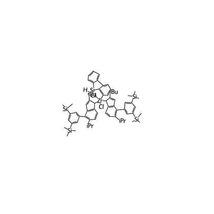 CCC(C)C1=Cc2c(ccc(C(C)C)c2-c2cc([Si](C)(C)C)cc([Si](C)(C)C)c2)[CH]1[Zr]([Cl])([Cl])([c]1cccc2c1[SiH2]c1ccccc1-2)[CH]1C(C(C)CC)=Cc2c1ccc(C(C)C)c2-c1cc([Si](C)(C)C)cc([Si](C)(C)C)c1